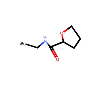 CCC(C)CNC(=O)C1CCCO1